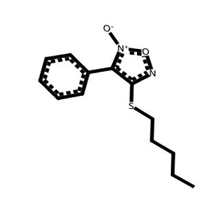 CCCCCSc1no[n+]([O-])c1-c1ccccc1